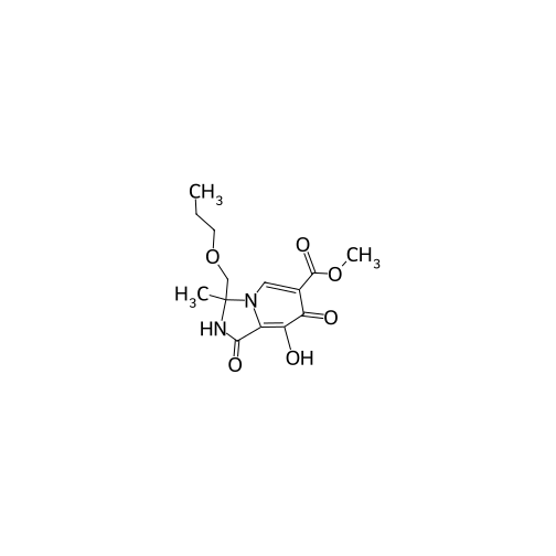 CCCOCC1(C)NC(=O)c2c(O)c(=O)c(C(=O)OC)cn21